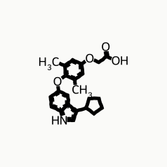 Cc1cc(OCC(=O)O)cc(C)c1Oc1ccc2[nH]cc(C3CCCC3)c2c1